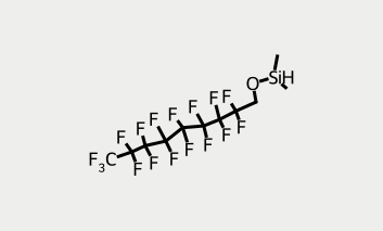 C[SiH](C)OCC(F)(F)C(F)(F)C(F)(F)C(F)(F)C(F)(F)C(F)(F)C(F)(F)C(F)(F)F